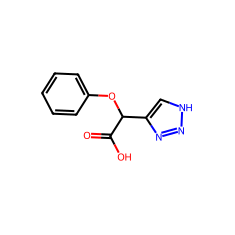 O=C(O)C(Oc1ccccc1)c1c[nH]nn1